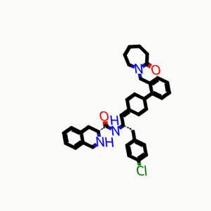 O=C(N[C@H](C=C1CCC(c2ccccc2CN2CCCCCC2=O)CC1)Cc1ccc(Cl)cc1)[C@H]1Cc2ccccc2CN1